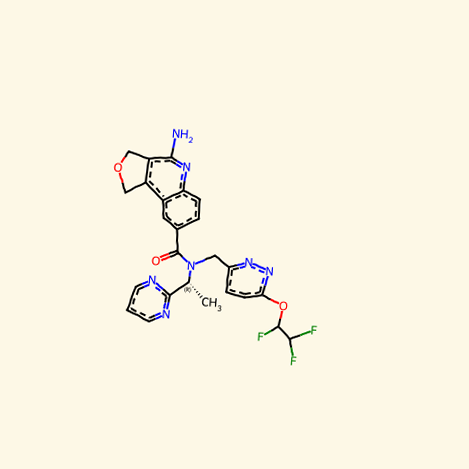 C[C@H](c1ncccn1)N(Cc1ccc(OC(F)C(F)F)nn1)C(=O)c1ccc2nc(N)c3c(c2c1)COC3